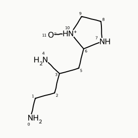 NCCC(N)CC1NCC[NH+]1[O-]